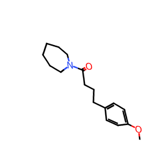 COc1ccc(CCCC(=O)N2CCCCCC2)cc1